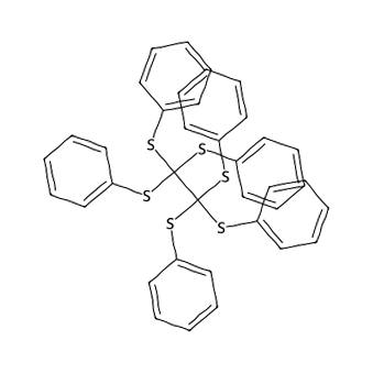 c1ccc(SC(Sc2ccccc2)(Sc2ccccc2)C(Sc2ccccc2)(Sc2ccccc2)Sc2ccccc2)cc1